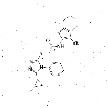 C[C@H]1CC1c1nnc(SCC(=O)Nc2sc3c(c2C#N)CCCC3)n1-c1ccccc1